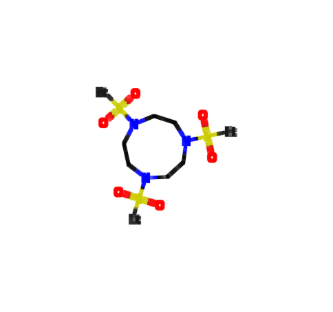 CCS(=O)(=O)N1CCN(S(=O)(=O)CC)CCN(S(=O)(=O)CC)CC1